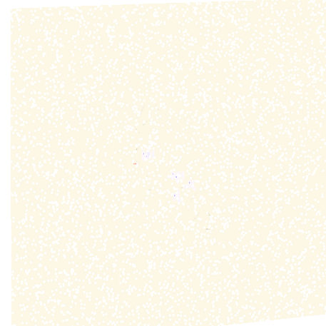 O=C(N[C@@H]1C[C@H]1c1ccccc1)c1cccc(Nc2ncc(-c3ccccc3)cn2)c1